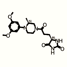 COc1cc(OC)cc(N2CCN(C(=O)CC[C@H]3NC(=O)NC3=O)C[C@@H]2C)c1